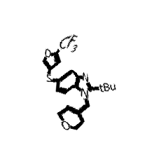 CC(C)(C)c1nc2cc(Sc3coc(C(F)(F)F)c3)ccc2n1CC1CCOCC1